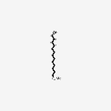 COCCCCCCCCCCCCCO